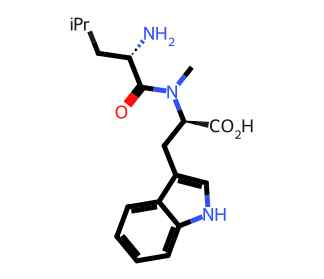 CC(C)C[C@H](N)C(=O)N(C)[C@H](Cc1c[nH]c2ccccc12)C(=O)O